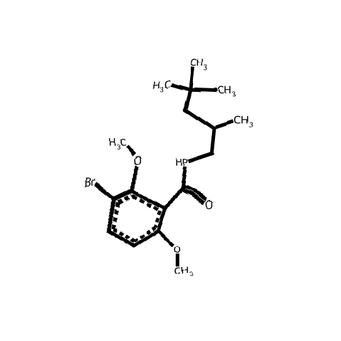 COc1ccc(Br)c(OC)c1C(=O)PCC(C)CC(C)(C)C